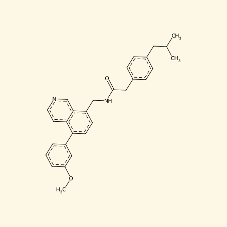 COc1cccc(-c2ccc(CNC(=O)Cc3ccc(CC(C)C)cc3)c3cnccc23)c1